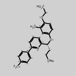 COCC[C@@H](Oc1ccc(OCC(=O)O)c(C)c1)c1cccc(-c2ccc(C(F)(F)F)cc2)n1